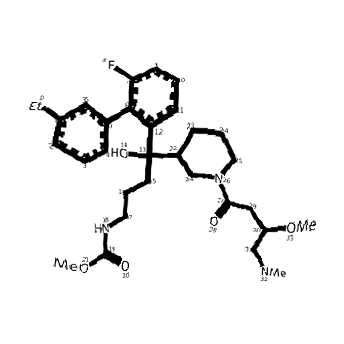 CCc1cccc(-c2c(F)cccc2C(O)(CCCNC(=O)OC)C2CCCN(C(=O)CC(CNC)OC)C2)c1